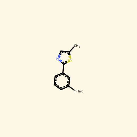 CCCCCCc1cccc(-c2ncc(C)s2)c1